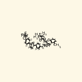 Cc1cccc(C)c1/N=C(/N/N=C/c1ccc(-c2ncn(-c3ccc(OC(F)(F)F)cc3)n2)cc1)SCOC(=O)C(C)(C)C